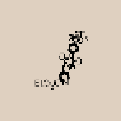 CCOC(=O)c1cc(CN2C(=O)N(c3ccc(S(=O)(=O)C(F)(F)F)cc3)C(=O)C2(C)C)ccn1